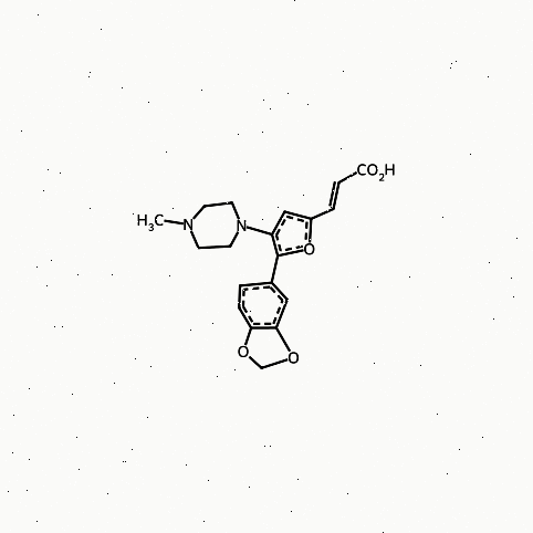 CN1CCN(c2cc(/C=C/C(=O)O)oc2-c2ccc3c(c2)OCO3)CC1